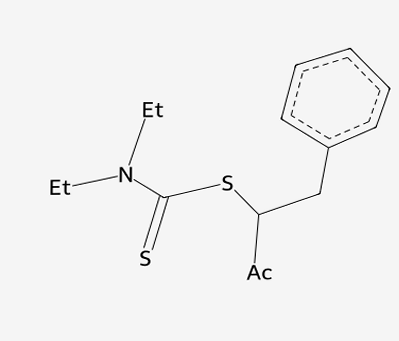 CCN(CC)C(=S)SC(Cc1ccccc1)C(C)=O